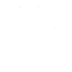 CCCCC/C(C(=O)O)=C(\O)C(N)=O